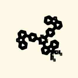 CC1(C)c2ccccc2-c2c(-c3nc(-c4ccc(-c5cccc6oc7ccccc7c56)cc4)nc(-c4ccc(-c5cccc6oc7ccccc7c56)cc4)n3)cccc21